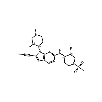 CC#Cc1cc2cnc(N[C@@H]3CCN(S(C)(=O)=O)C[C@H]3F)nc2n1[C@@H]1CCN(C)C[C@@H]1F